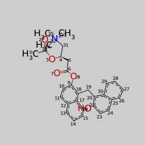 CC(=O)O[C@H](CC(=O)Oc1ccc2ccccc2c1Cc1c(O)ccc2ccccc12)C[N+](C)(C)C